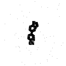 N#Cc1ccc(-c2ccc3nccn3c2)cn1